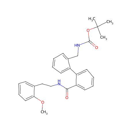 COc1ccccc1CCNC(=O)c1ccccc1-c1ccccc1CNC(=O)OC(C)(C)C